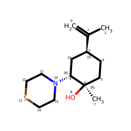 C=C(C)[C@H]1CC[C@@](C)(O)[C@H](N2CCSCC2)C1